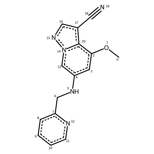 COc1cc(NCc2ccccn2)cn2ncc(C#N)c12